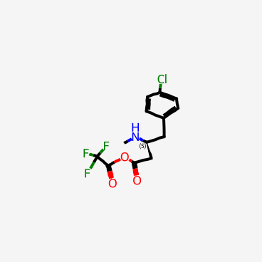 CN[C@H](CC(=O)OC(=O)C(F)(F)F)Cc1ccc(Cl)cc1